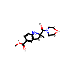 COC(=O)c1ccc2c(c1)CC(C)(C(=O)N1CCOCC1)N2